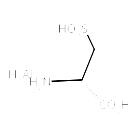 N[C@H](CS(=O)(=O)O)C(=O)O.[AlH3]